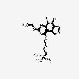 CCSc1nc(OCOCC[Si](C)(C)C)c2c3c(c(Br)c(F)c2n1)COC3